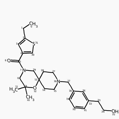 CCc1cc(C(=O)N2CC(C)(C)OC3(CCN(Cc4cccc(CCO)c4)CC3)C2)cs1